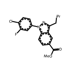 COC(=O)c1ccc2c(c1)c(CC(C)C)nn2-c1ccc(Cl)c(F)c1